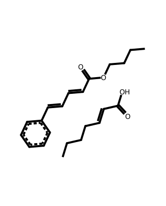 CCCCC=CC(=O)O.CCCCOC(=O)C=CC=Cc1ccccc1